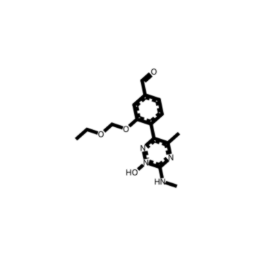 CCOCOc1cc(C=O)ccc1-c1n[n+](O)c(NC)nc1C